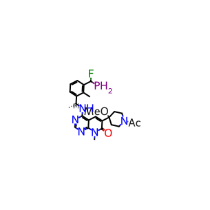 COC1(c2cc3c(N[C@H](C)c4cccc(C(F)P)c4C)ncnc3n(C)c2=O)CCN(C(C)=O)CC1